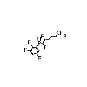 CCCCC(F)C(F)Pc1cc(F)cc(F)c1F